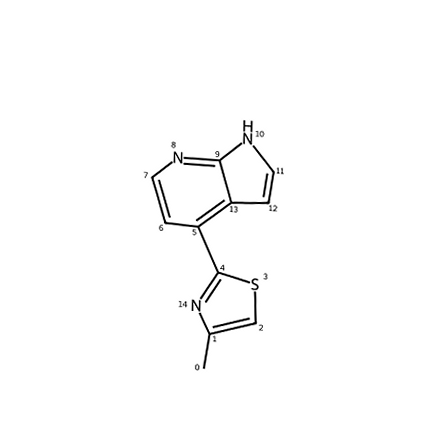 Cc1csc(-c2ccnc3[nH]ccc23)n1